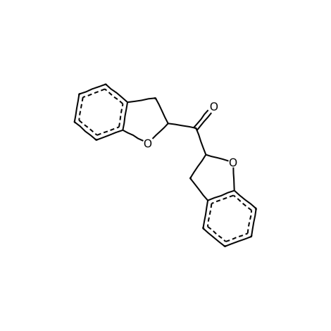 O=C(C1Cc2ccccc2O1)C1Cc2ccccc2O1